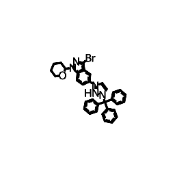 Brc1nn(C2CCCCO2)c2ccc(N3C=CN(C(c4ccccc4)(c4ccccc4)c4ccccc4)N3)cc12